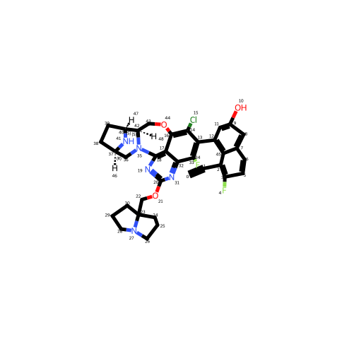 C#Cc1c(F)ccc2cc(O)cc(-c3c(Cl)c4c5c(nc(OCC67CCCN6CCC7)nc5c3F)N3C[C@H]5CC[C@H](N5)[C@H]3CO4)c12